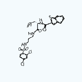 CC(C)C[C@H](NC(=O)c1cc2ccccc2s1)C(=O)NCCCNS(=O)(=O)c1ccc(Cl)cc1Cl